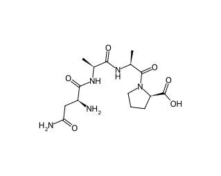 C[C@H](NC(=O)[C@@H](N)CC(N)=O)C(=O)N[C@@H](C)C(=O)N1CCC[C@@H]1C(=O)O